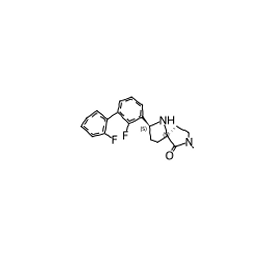 CN1CC[C@@]2(CC[C@@H](c3cccc(-c4ccccc4F)c3F)N2)C1=O